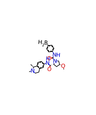 Bc1ccc(NC(=O)N2C[C@H](OC)C[C@@H]2C(=O)Nc2ccc3c(c2)CCN(C)[C@H]3C)cc1